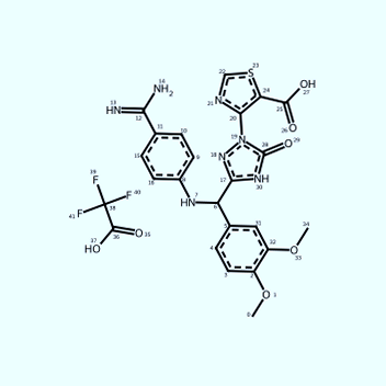 COc1ccc(C(Nc2ccc(C(=N)N)cc2)c2nn(-c3ncsc3C(=O)O)c(=O)[nH]2)cc1OC.O=C(O)C(F)(F)F